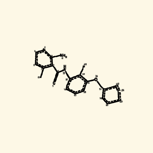 Cc1ccnc(N)c1C(=O)Nc1cccc(Oc2ccccc2)c1F